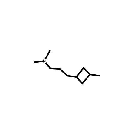 CC1CC(CCCN(C)C)C1